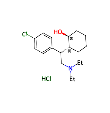 CCN(CC)CC(c1ccc(Cl)cc1)[C@H]1CCCC[C@@H]1O.Cl